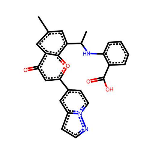 Cc1cc(C(C)Nc2ccccc2C(=O)O)c2oc(-c3ccn4nccc4c3)cc(=O)c2c1